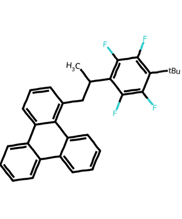 CC(Cc1cccc2c3ccccc3c3ccccc3c12)c1c(F)c(F)c(C(C)(C)C)c(F)c1F